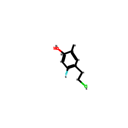 Cc1cc(CCCl)c(F)cc1O